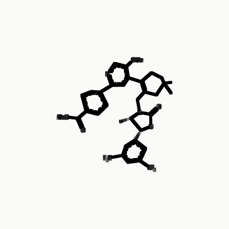 COC(=O)c1ccc(-c2cc(C3=C(CN4C(=O)O[C@H](c5cc(C(F)(F)F)cc(C(F)(F)F)c5)[C@@H]4C)CC(C)(C)CC3)c(OC)cn2)cc1